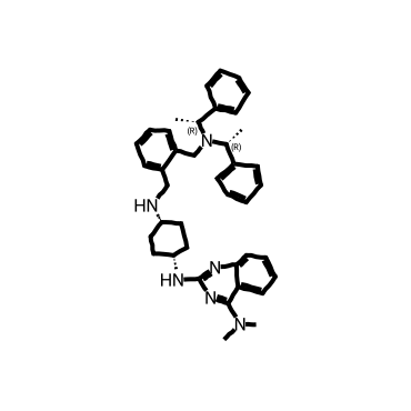 C[C@H](c1ccccc1)N(Cc1ccccc1CN[C@H]1CC[C@@H](Nc2nc(N(C)C)c3ccccc3n2)CC1)[C@H](C)c1ccccc1